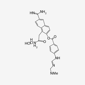 CNC/N=C/Nc1ccc(C(=O)Oc2ccc3cc(C(=N)N)ccc3c2CC(N)=O)cc1.Cl.Cl